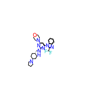 FC(F)c1nc2ccccc2n1-c1cc(N2CCOCC2)nc(NC[C@H]2CC[C@H](N3CCCC3)CC2)n1